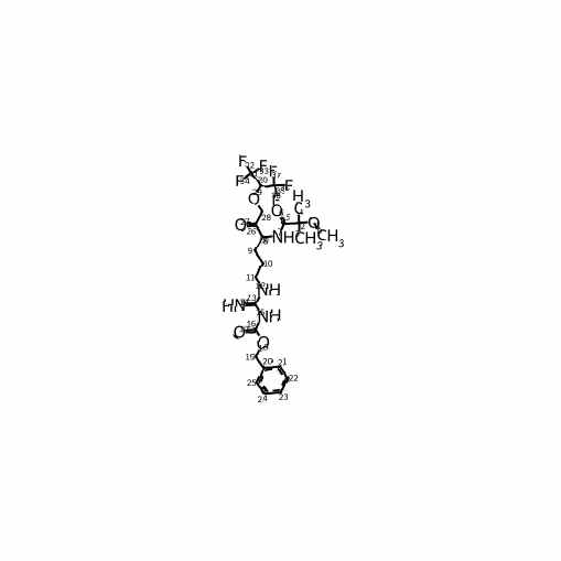 COC(C)(C)C(=O)N[C@@H](CCCNC(=N)NC(=O)OCc1ccccc1)C(=O)COC(C(F)(F)F)C(F)(F)F